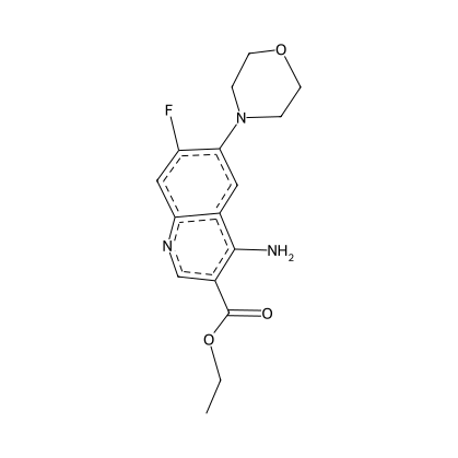 CCOC(=O)c1cnc2cc(F)c(N3CCOCC3)cc2c1N